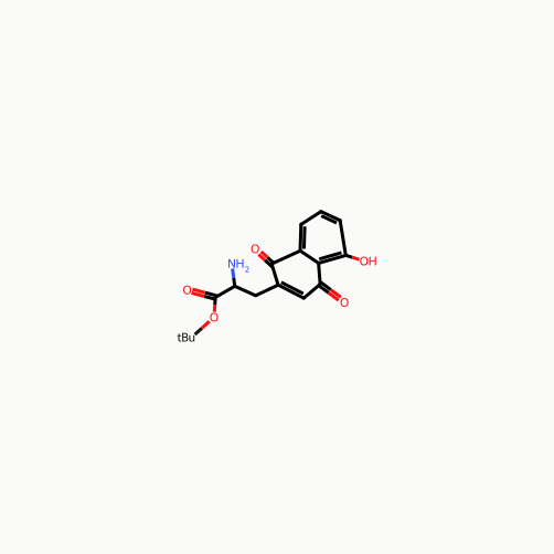 CC(C)(C)OC(=O)C(N)CC1=CC(=O)c2c(O)cccc2C1=O